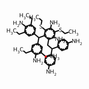 CCSc1c(N)c(CC(c2ccc(N)cc2)c2ccc(N)cc2)c(C(c2cc(CC)c(N)c(CC)c2)c2cc(CC)c(N)c(CC)c2)c(SCC)c1N